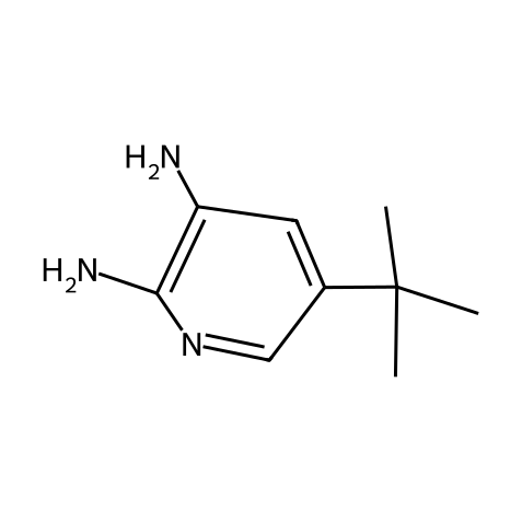 CC(C)(C)c1cnc(N)c(N)c1